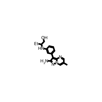 CCC(CO)Nc1cccc(-c2c(N)nn3cc(C)cnc23)c1